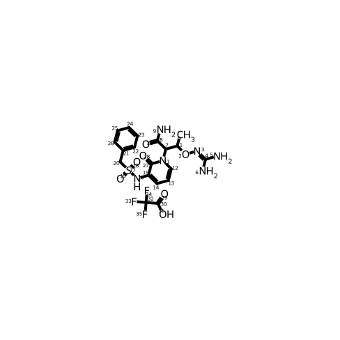 CC(ON=C(N)N)C(C(N)=O)n1cccc(NS(=O)(=O)Cc2ccccc2)c1=O.O=C(O)C(F)(F)F